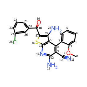 COc1ccccc1-c1c(C#N)c(N)nc2sc(C(=O)c3cccc(Cl)c3)c(N)c12